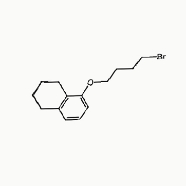 BrCCCCOc1cccc2c1CCCC2